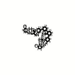 O=C1CC[C@H](CNCc2ccc(-c3cccc(-c4cccc(-c5ccn6c(=O)c(CNC[C@H]7CCC(=O)N7)cnc6c5)c4Cl)c3Cl)cc2OC(F)F)N1